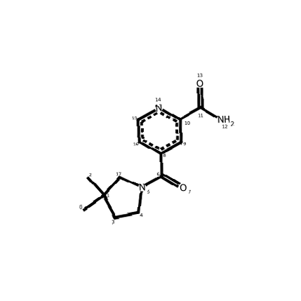 CC1(C)CCN(C(=O)c2[c]c(C(N)=O)ncc2)C1